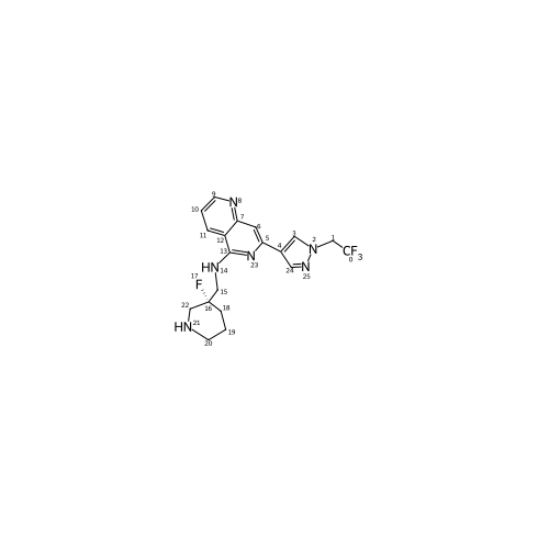 FC(F)(F)Cn1cc(-c2cc3ncccc3c(NC[C@@]3(F)CCCNC3)n2)cn1